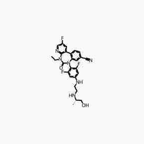 CCN1C(=O)N(c2c(F)cc(NCCN[C@@H](C)CO)cc2F)c2cc(C#N)ccc2-c2cc(F)cnc21